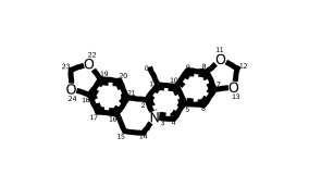 Cc1c2[n+](cc3cc4c(cc13)OCO4)CCc1cc3c(cc1-2)OCO3